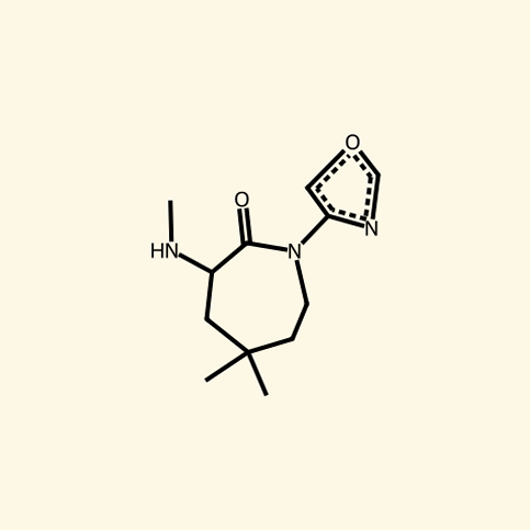 CNC1CC(C)(C)CCN(c2cocn2)C1=O